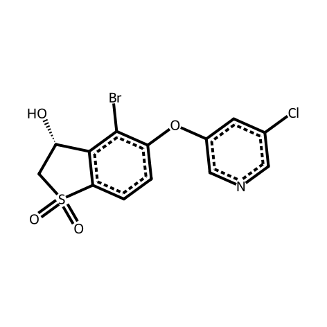 O=S1(=O)C[C@H](O)c2c1ccc(Oc1cncc(Cl)c1)c2Br